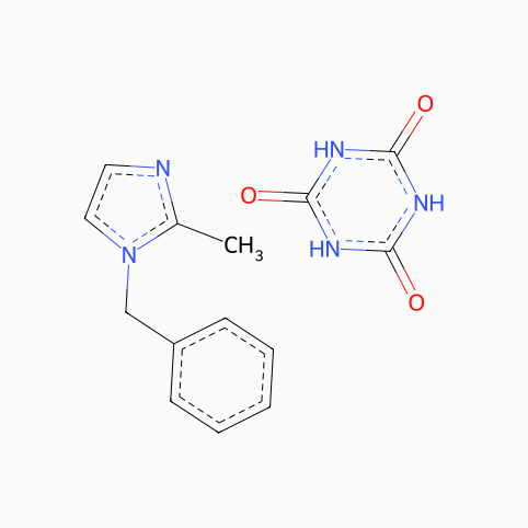 Cc1nccn1Cc1ccccc1.O=c1[nH]c(=O)[nH]c(=O)[nH]1